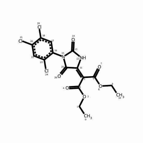 CCOC(=O)C(C(=O)OCC)=C1NC(=O)N(c2cc(Cl)c(Cl)cc2Cl)C1=O